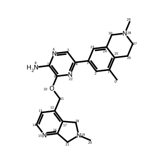 Cc1cc(-c2cnc(N)c(OCc3ccnc4c3CN(C)C4)n2)cc2c1CCN(C)C2